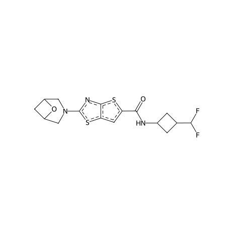 O=C(NC1CC(C(F)F)C1)c1cc2sc(N3CC4CC(C3)O4)nc2s1